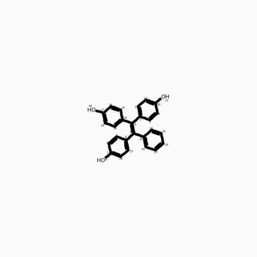 Oc1ccc(C(=C(c2ccc(O)cc2)c2ccc(O)cc2)c2cc[c]cc2)cc1